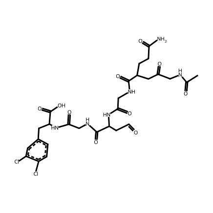 CC(=O)NCC(=O)CC(CCC(N)=O)C(=O)NCC(=O)NC(CC=O)C(=O)NCC(=O)NC(Cc1ccc(Cl)c(Cl)c1)C(=O)O